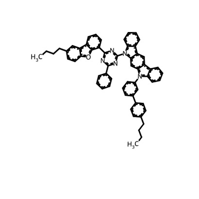 CCCCc1ccc(-c2cccc(-n3c4ccccc4c4cc5c6ccccc6n(-c6nc(-c7ccccc7)nc(-c7cccc8c7oc7ccc(CCCC)cc78)n6)c5cc43)c2)cc1